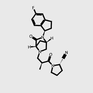 C[C@@H](CN1C[C@@H]2C[C@H]1C(=O)N2[C@@H]1CCc2cc(F)ccc21)C(=O)N1CCC[C@H]1C#N